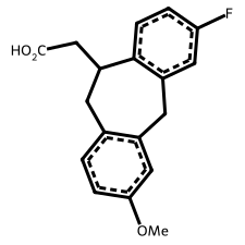 COc1ccc2c(c1)Cc1cc(F)ccc1C(CC(=O)O)C2